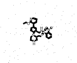 CCOc1ncccc1-c1ccc(N2CCNCC2CC)c(CNS(=O)(=O)c2ccccc2[N+](=O)[O-])c1